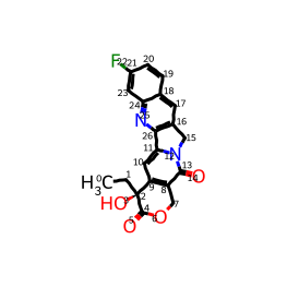 CC[C@@]1(O)C(=O)OCc2c1cc1n(c2=O)Cc2cc3ccc(F)cc3nc2-1